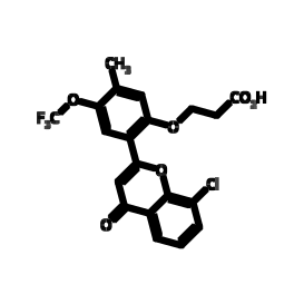 Cc1cc(OCCC(=O)O)c(-c2cc(=O)c3cccc(Cl)c3o2)cc1OC(F)(F)F